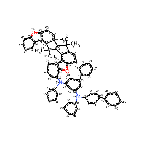 CC1(C)C2=C(c3c1ccc1oc4c(N(c5ccccc5)c5cc(-c6ccccc6)cc(N(c6ccccc6)c6ccc(-c7ccccc7)cc6)c5)cccc4c31)C(C)(C)c1c2ccc2oc3ccccc3c12